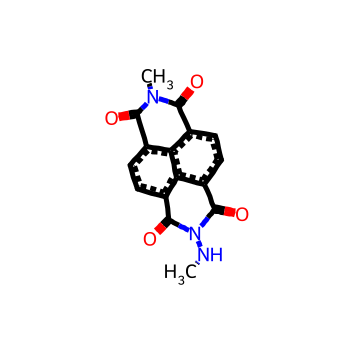 CNN1C(=O)c2ccc3c4c(ccc(c24)C1=O)C(=O)N(C)C3=O